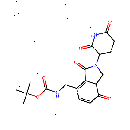 CC(C)(C)OC(=O)NCC1=C2C(=O)N(C3CCC(=O)NC3=O)CC2C(=O)C=C1